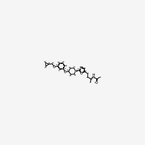 CC(=O)NC(C)CCc1cnc(N2CCC(Oc3cccc(OCC4CC4)c3)CC2)o1